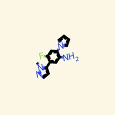 Cn1nccc1-c1cc(N)c(-n2cccc2)cc1F